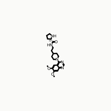 COc1cc2ncnc(N3CCC(CCNC(=O)[C@@H]4CCCN4)CC3)c2cc1OC